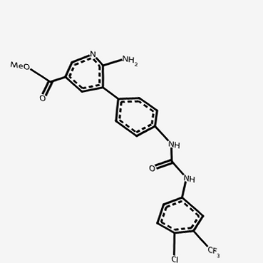 COC(=O)c1cnc(N)c(-c2ccc(NC(=O)Nc3ccc(Cl)c(C(F)(F)F)c3)cc2)c1